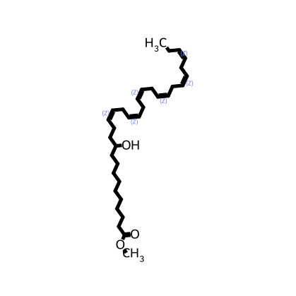 CC/C=C\C/C=C\C/C=C\C/C=C\C/C=C\C/C=C\CCC(O)CCCCCCCCCC(=O)OC